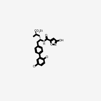 CCOC(=O)[C@H](C)C[C@@H](Cc1ccc(-c2cc(Cl)ccc2Cl)cc1)NC(=O)c1cc(O)no1